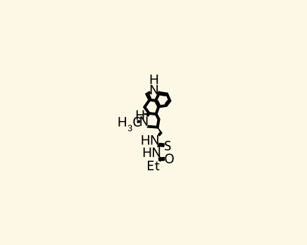 CCC(=O)NC(=S)NC[C@@H]1CC2c3cccc4[nH]cc(c34)C[C@H]2N(C)C1